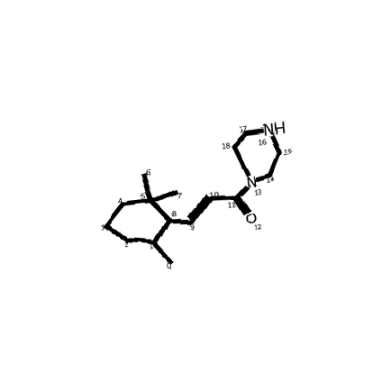 CC1CCCC(C)(C)C1/C=C/C(=O)N1CCNCC1